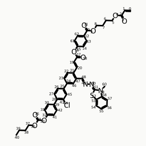 C=CC(=O)OCCCCOC(=O)c1ccc(OC(=O)/C=C/c2ccc(-c3ccc(-c4ccc(OC(=O)OCCCC)cc4)c(Cl)c3)cc2/C=N/N=c2\sc3ccccc3n2C)cc1